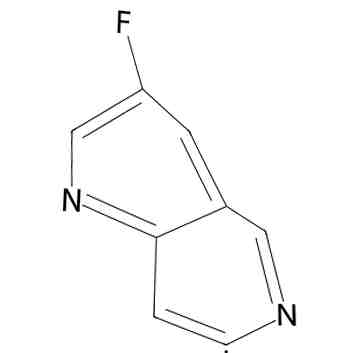 Fc1cnc2c[c]ncc2c1